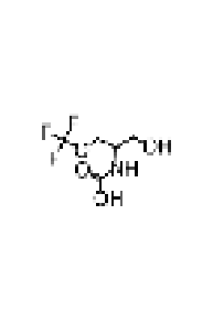 O=C(O)NC(CO)COC(F)(F)F